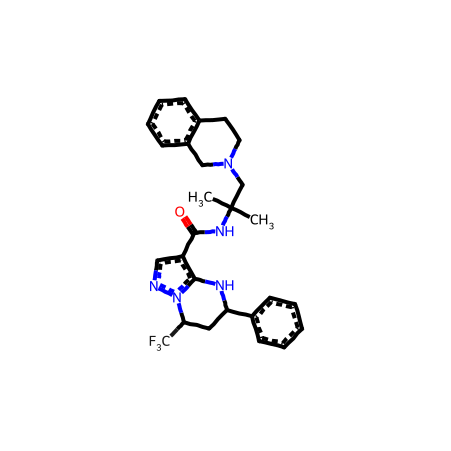 CC(C)(CN1CCc2ccccc2C1)NC(=O)c1cnn2c1NC(c1ccccc1)CC2C(F)(F)F